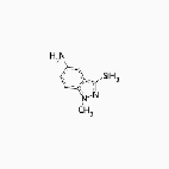 Cn1nc([SiH3])c2cc(N)ccc21